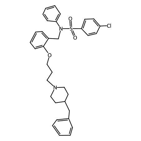 O=S(=O)(c1ccc(Cl)cc1)N(Cc1ccccc1OCCCN1CCC(Cc2ccccc2)CC1)c1ccccc1